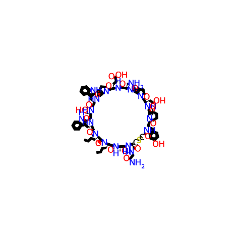 CCCC[C@H]1C(=O)N(C)[C@@H](CCCC)C(=O)N[C@@H](C)C(=O)N[C@H](C(=O)NCC(N)=O)CSCC(=O)N[C@@H](Cc2ccc(O)cc2)C(=O)N2CCCC[C@H]2C(=O)N[C@@H](CC(=O)O)C(=O)N2CCC[C@H]2C(=O)N[C@@H](CN)C(=O)N[C@@H](CCC(=O)O)C(=O)N2CCC[C@H]2C(=O)N[C@@H](Cc2c[nH]c3ccccc23)C(=O)N[C@@H](CO)C(=O)N[C@@H](Cc2c[nH]c3ccccc23)C(=O)N1C